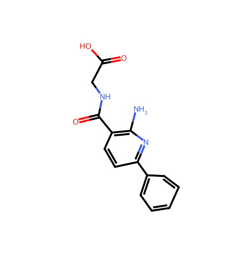 Nc1nc(-c2ccccc2)ccc1C(=O)NCC(=O)O